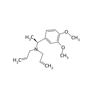 C=CCN(CC=C)[C@@H](C)c1ccc(OC)c(OC)c1